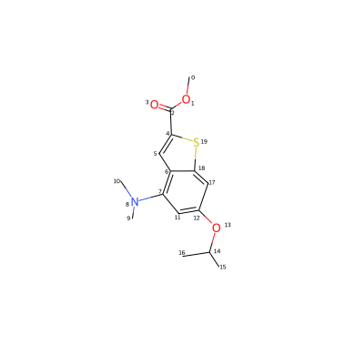 COC(=O)c1cc2c(N(C)C)cc(OC(C)C)cc2s1